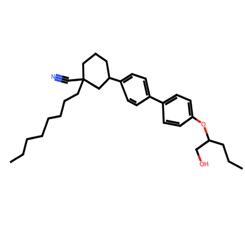 CCCCCCCCC1(C#N)CCCC(c2ccc(-c3ccc(OC(CO)CCC)cc3)cc2)C1